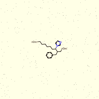 CCCCCCCCCCCCCCCCC(C(CCCCCCCCCCC)Cc1ccccc1)n1ccnc1